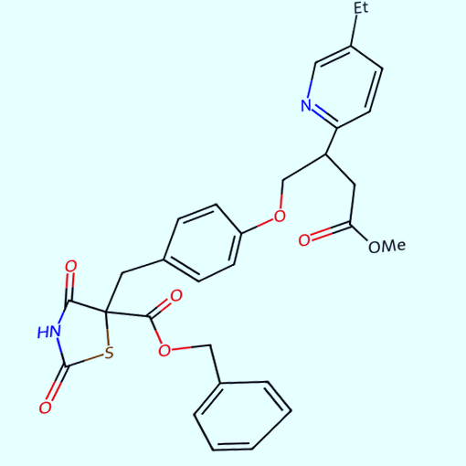 CCc1ccc(C(COc2ccc(CC3(C(=O)OCc4ccccc4)SC(=O)NC3=O)cc2)CC(=O)OC)nc1